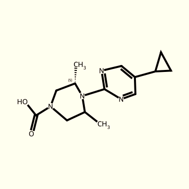 CC1CN(C(=O)O)C[C@H](C)N1c1ncc(C2CC2)cn1